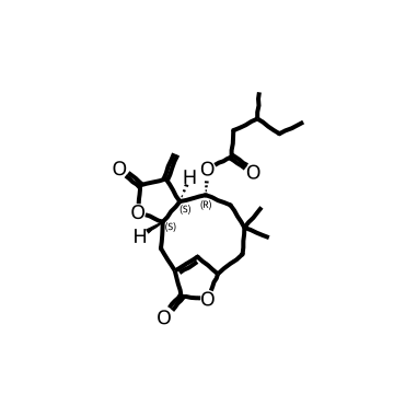 C=C1C(=O)O[C@H]2CC3=CC(CC(C)(C)C[C@@H](OC(=O)CC(C)CC)[C@H]12)OC3=O